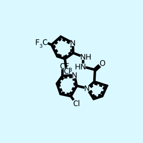 O=C(NNc1ncc(C(F)(F)F)cc1Cl)c1cccn1-c1nc(C(F)(F)F)ccc1Cl